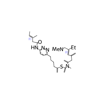 C=C(/C=C(\CC)CNC)CC(=C)N(C)C(=C)SC(=C)CCCCc1ccc(NC(=O)C/C(C)=C/C)nn1